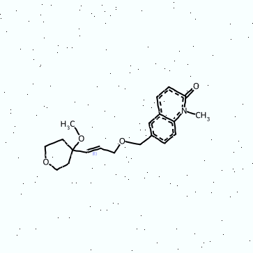 COC1(/C=C/COCc2ccc3c(ccc(=O)n3C)c2)CCOCC1